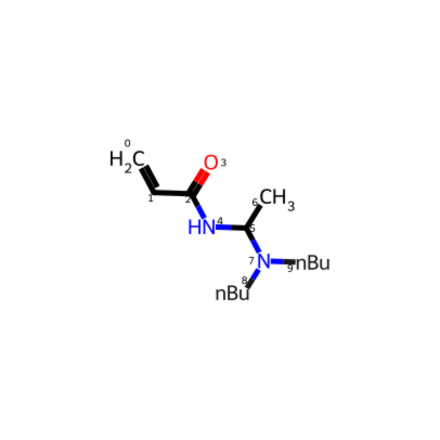 C=CC(=O)NC(C)N(CCCC)CCCC